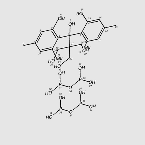 Cc1cc(C(C)(C)C)c(C(O)(c2c(C(C)(C)C)cc(C)cc2C(C)(C)C)C(CO)(CO)CO)c(C(C)(C)C)c1.OP(O)OP(O)O.OP(O)OP(O)O